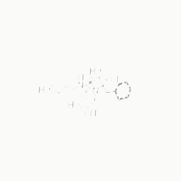 [CH2]CC(O)(Cc1ccccc1)N(CC(C)C)S(=O)(=O)NCCCC